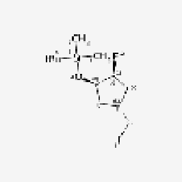 CC(C)(C)[Si](C)(C)O[C@@H]1C[C@@H](CI)C[C@@H]1F